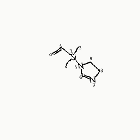 C=C[Si](C)(C)N1C=NCC1